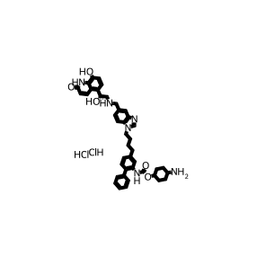 Cl.Cl.NC1CCC(OC(=O)Nc2cc(CCCCn3cnc4cc(CNC[C@H](O)c5ccc(O)c6[nH]c(=O)ccc56)ccc43)ccc2-c2ccccc2)CC1